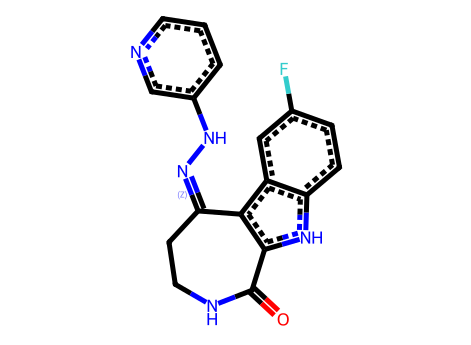 O=C1NCC/C(=N/Nc2cccnc2)c2c1[nH]c1ccc(F)cc21